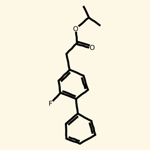 CC(C)OC(=O)Cc1ccc(-c2ccccc2)c(F)c1